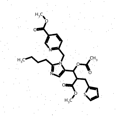 CCCCc1ncc(C(OC(C)=O)C(Cc2cccs2)C(=O)OC)n1Cc1ccc(C(=O)OC)cn1